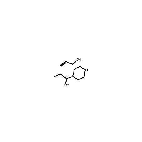 C=CCO.CCC(O)N1CCNCC1